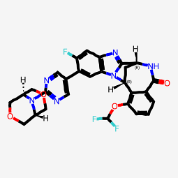 O=C1N[C@@H]2C[C@H](c3c(OC(F)F)cccc31)n1c2nc2cc(F)c(-c3cnc(N4[C@H]5COC[C@H]4COC5)nc3)cc21